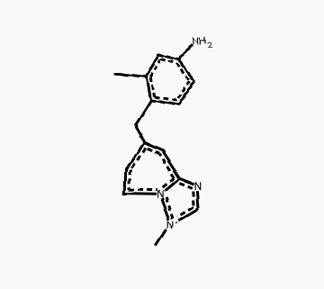 Cc1cc(N)ccc1Cc1ccn2c(c1)nc[n+]2C